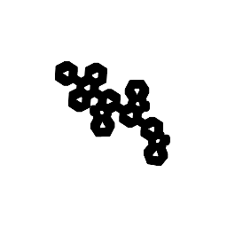 c1ccc(-c2c3ccccc3c(-c3ccc(-c4ccc(-c5ccc6oc7ccccc7c6c5)c5oc6ccccc6c45)c4c3oc3ccccc34)c3ccccc23)cc1